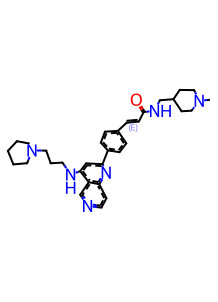 CN1CCC(CNC(=O)/C=C/c2ccc(-c3cc(NCCCN4CCCCC4)c4cnccc4n3)cc2)CC1